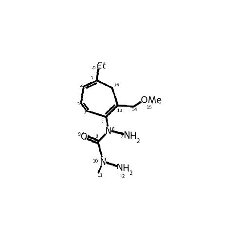 CCC1=CC=CC(N(N)C(=O)N(C)N)=C(COC)C1